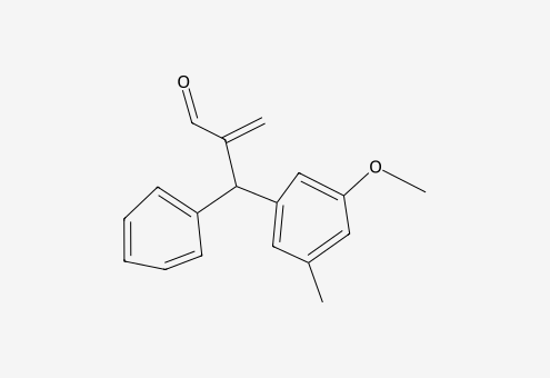 C=C(C=O)C(c1ccccc1)c1cc(C)cc(OC)c1